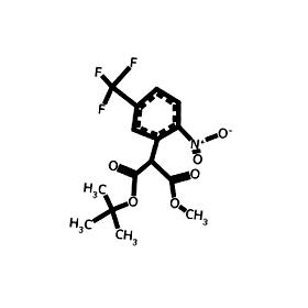 COC(=O)C(C(=O)OC(C)(C)C)c1cc(C(F)(F)F)ccc1[N+](=O)[O-]